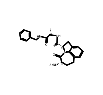 CC(=O)N[C@H]1CCc2cccc3c2N(C1=O)[C@H](C(=O)N[C@@H](C)C(=O)NCc1ccccc1)C3